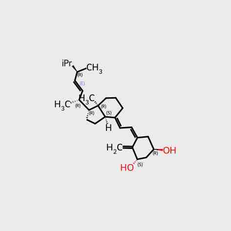 C=C1C(=CC=C2CCC[C@@]3(C)[C@@H]2CC[C@@H]3[C@H](C)/C=C/[C@H](C)C(C)C)C[C@@H](O)C[C@@H]1O